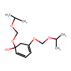 CC(C)OCOC1=CC=CC(O)(OCOC(C)C)C1